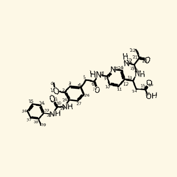 COc1cc(CC(=O)Nc2ccc(C(CC(=O)O)NC(N)C(C)=O)cn2)ccc1NC(=O)Nc1ccccc1C